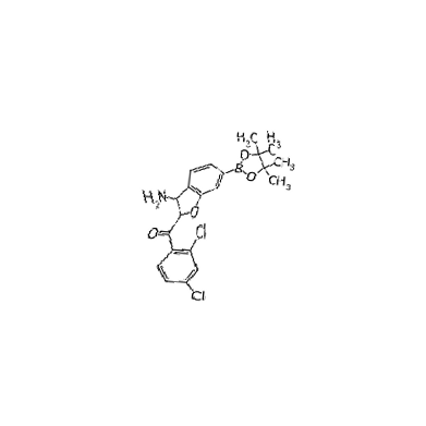 CC1(C)OB(c2ccc3c(c2)OC(C(=O)c2ccc(Cl)cc2Cl)C3N)OC1(C)C